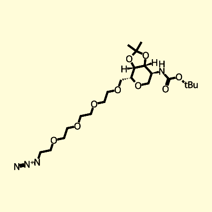 CC(C)(C)OC(=O)N[C@H]1CO[C@H](COCCOCCOCCOCCN=[N+]=[N-])[C@@H]2OC(C)(C)O[C@@H]21